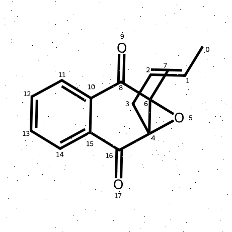 CC=CCC12OC1(C)C(=O)c1ccccc1C2=O